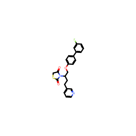 O=C1CSC(=O)N1C(CCc1cccnc1)COc1ccc(-c2cccc(F)c2)cc1